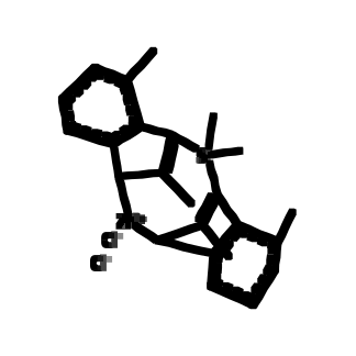 CC1=C2c3c(C)cccc3[CH]1[Zr+2][CH]1C(C)=C(c3c(C)cccc31)[Si]2(C)C.[Cl-].[Cl-]